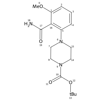 COc1cc[c]c(N2CCN(C(=O)OC(C)(C)C)CC2)c1C(N)=O